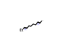 [CH2]/C=C/CCCC/C=C/CC